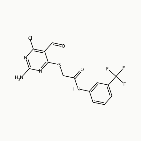 Nc1nc(Cl)c(C=O)c(SCC(=O)Nc2cccc(C(F)(F)F)c2)n1